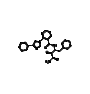 NC(=O)C(=O)C(Cc1ccccc1)NC(=O)c1cccnc1-n1cnc(-c2ccccc2)c1